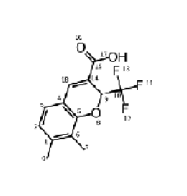 Cc1ccc2c(c1C)O[C@H](C(F)(F)F)C(C(=O)O)=C2